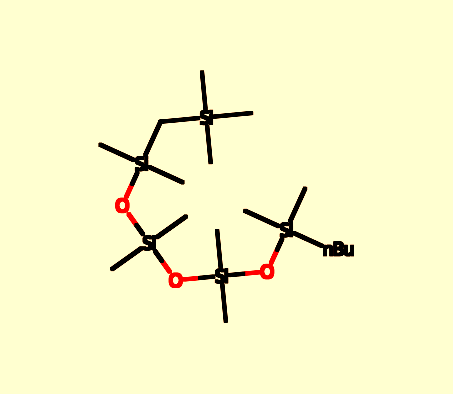 CCCC[Si](C)(C)O[Si](C)(C)O[Si](C)(C)O[Si](C)(C)C[Si](C)(C)C